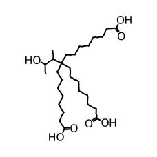 CC(O)C(C)C(CCCCCCCC(=O)O)(CCCCCCCC(=O)O)CCCCCCCC(=O)O